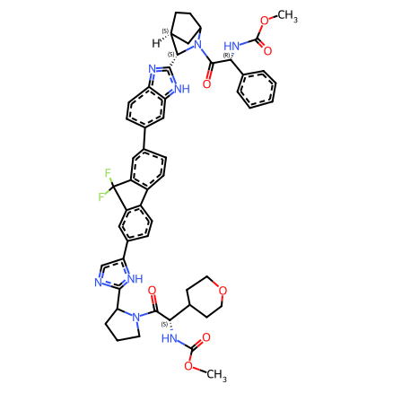 COC(=O)N[C@H](C(=O)N1CCCC1c1ncc(-c2ccc3c(c2)C(F)(F)c2cc(-c4ccc5nc([C@@H]6[C@H]7CCC(C7)N6C(=O)[C@H](NC(=O)OC)c6ccccc6)[nH]c5c4)ccc2-3)[nH]1)C1CCOCC1